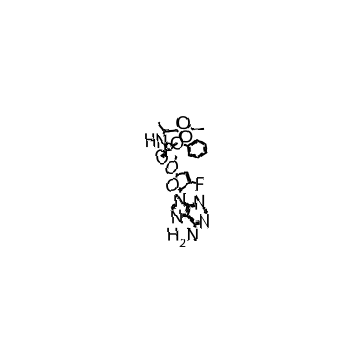 CC1OC(C(C)N[P@](=O)(COC2C=C(F)C(n3cnc4c(N)ncnc43)O2)Oc2ccccc2)O1